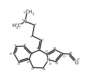 CN(C)CC/C=C1\c2ccccc2CCn2cc(C=O)cc21